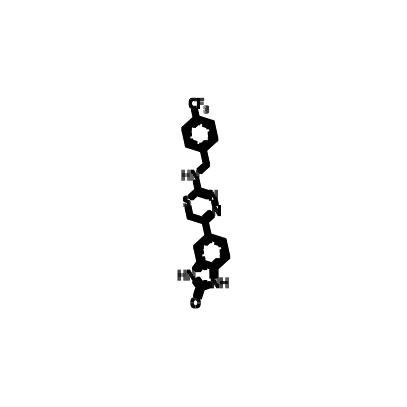 O=c1[nH]c2ccc(C3=NN=C(NCc4ccc(C(F)(F)F)cc4)SC3)cc2[nH]1